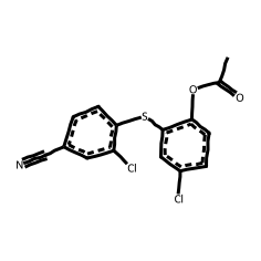 CC(=O)Oc1ccc(Cl)cc1Sc1ccc(C#N)cc1Cl